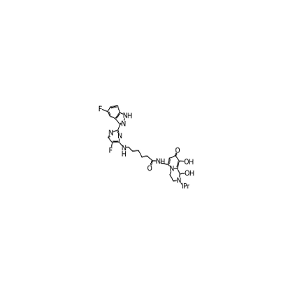 CC(C)N1CCn2c(CNC(=O)CCCCCNc3nc(-c4n[nH]c5ccc(F)cc45)ncc3F)cc(=O)c(O)c2C1O